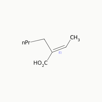 C/C=C(\CCCC)C(=O)O